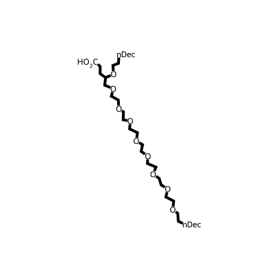 CCCCCCCCCCCCOCCOCCOCCOCCOCCOCCOCCOCC(CCC(=O)O)OCCCCCCCCCCCC